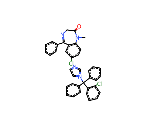 CN1C(=O)CN=C(c2ccccc2)c2cc(Cl)ccc21.Clc1ccccc1C(c1ccccc1)(c1ccccc1)n1ccnc1